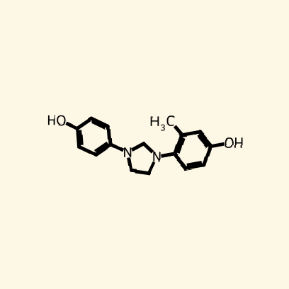 Cc1cc(O)ccc1N1CCN(c2ccc(O)cc2)C1